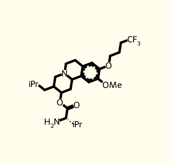 COc1cc2c(cc1OCCCC(F)(F)F)CCN1CC(CC(C)C)C(OC(=O)[C@@H](N)C(C)C)CC21